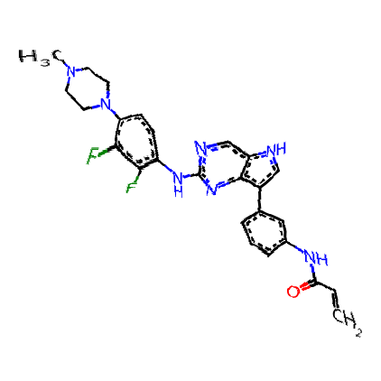 C=CC(=O)Nc1cccc(-c2c[nH]c3cnc(Nc4ccc(N5CCN(C)CC5)c(F)c4F)nc23)c1